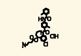 Cc1ccccc1C(=O)Nc1ccc(C(=O)N2CCCC(OC(=O)CCCN(C)C)c3cc(Cl)ccc32)c(C)c1.Cl